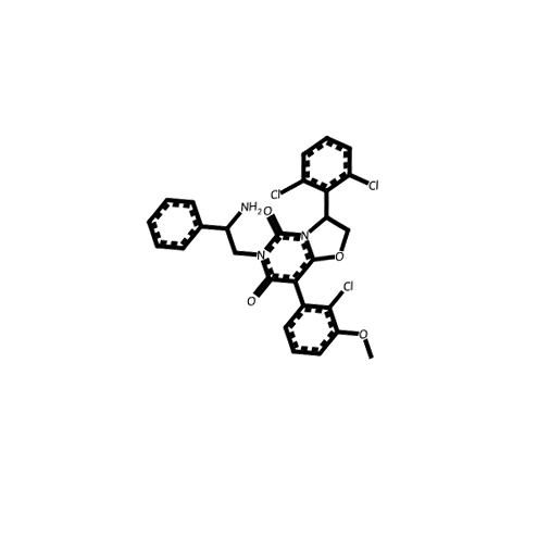 COc1cccc(-c2c3n(c(=O)n(CC(N)c4ccccc4)c2=O)C(c2c(Cl)cccc2Cl)CO3)c1Cl